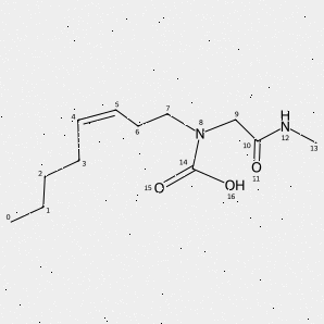 CCCC/C=C\CCN(CC(=O)NC)C(=O)O